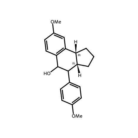 COc1ccc(C2C(O)c3ccc(OC)cc3[C@@H]3CCC[C@H]23)cc1